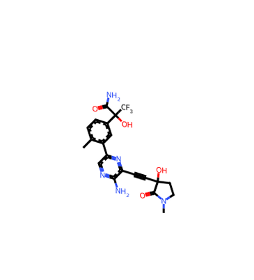 Cc1ccc(C(O)(C(N)=O)C(F)(F)F)cc1-c1cnc(N)c(C#CC2(O)CCN(C)C2=O)n1